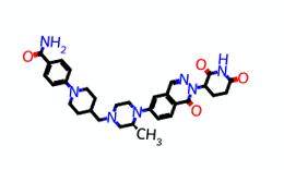 C[C@H]1CN(CC2CCN(c3ccc(C(N)=O)cc3)CC2)CCN1c1ccc2c(=O)n(C3CCC(=O)NC3=O)ncc2c1